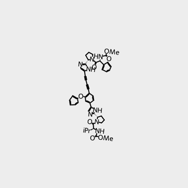 COC(=O)N[C@H](C(=O)N1CCC[C@H]1c1ncc(-c2ccc(C#CC#Cc3cnc([C@@H]4CCCN4C(=O)[C@H](NC(=O)OC)c4ccccc4)[nH]3)c(Oc3ccccc3)c2)[nH]1)C(C)C